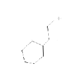 C[C@@H](CO)C1CCCCC1